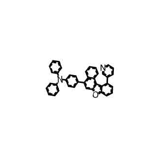 c1ccc(N(c2ccccc2)c2ccc(-c3cc4oc5cccc(-c6cccnc6)c5c4c4ccccc34)cc2)cc1